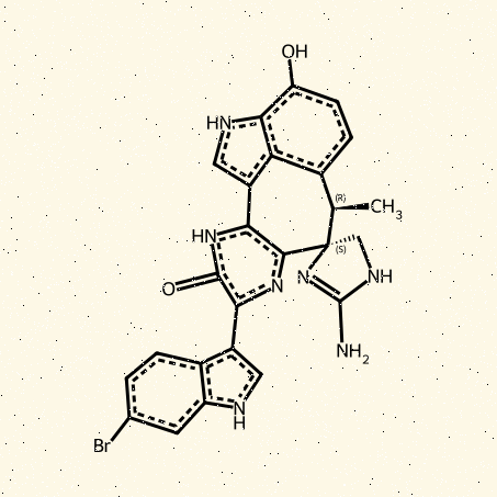 C[C@@H]1c2ccc(O)c3[nH]cc(c23)-c2[nH]c(=O)c(-c3c[nH]c4cc(Br)ccc34)nc2[C@@]12CNC(N)=N2